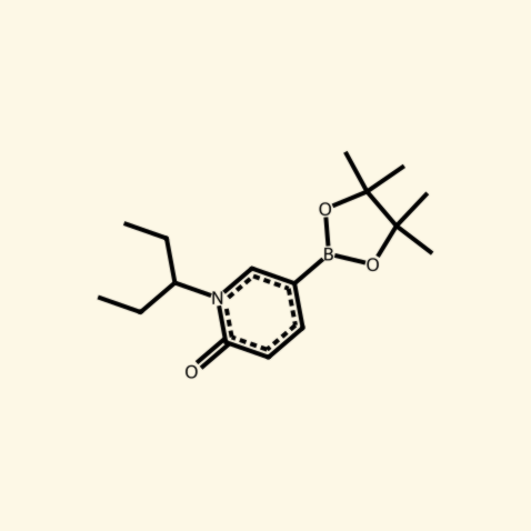 CCC(CC)n1cc(B2OC(C)(C)C(C)(C)O2)ccc1=O